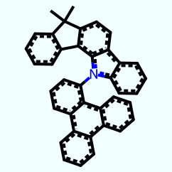 CC1(C)c2ccccc2-c2c1ccc1c3ccccc3n(-c3cccc4c5ccccc5c5ccccc5c34)c21